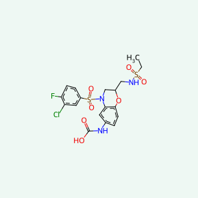 CCS(=O)(=O)NCC1CN(S(=O)(=O)c2ccc(F)c(Cl)c2)c2cc(NC(=O)O)ccc2O1